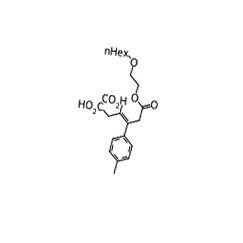 CCCCCCOCCOC(=O)CC(=C(CC(=O)O)C(=O)O)c1ccc(C)cc1